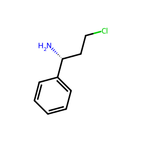 N[C@H](CCCl)c1ccccc1